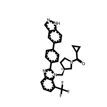 O=C(C1CC1)N1CC[C@H](Cn2c(-c3ccc(-c4ccc5[nH]ncc5c4)cc3)nc3cccc(C(F)(F)F)c32)C1